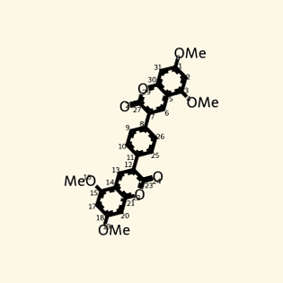 COc1cc(OC)c2cc(-c3ccc(-c4cc5c(OC)cc(OC)cc5oc4=O)cc3)c(=O)oc2c1